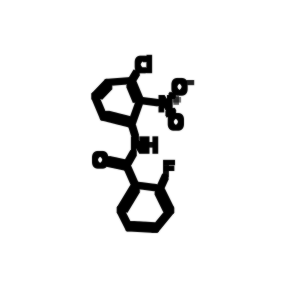 O=C(Nc1cccc(Cl)c1[N+](=O)[O-])c1ccccc1F